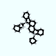 c1ccc(-n2c3ccccc3c3c4ccc5c6ccccc6n(-c6nc7ccccc7s6)c5c4ccc32)cc1